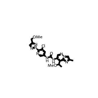 COCc1cnn(-c2ncc(NC(=O)Nc3cnn4cc(C)nc4c3C(C)OC)cc2Cl)n1